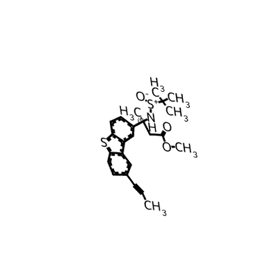 CC#Cc1ccc2sc3ccc([C@](C)(CC(=O)OC)N[S+]([O-])C(C)(C)C)cc3c2c1